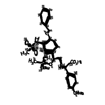 COc1ccc(C(NC[C@@H](O[Si](C)(C)C(C)(C)C)c2ccc(OCc3ccccc3)c(NS(C)(=O)=O)c2)C(=O)O)cc1